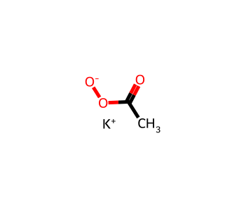 CC(=O)O[O-].[K+]